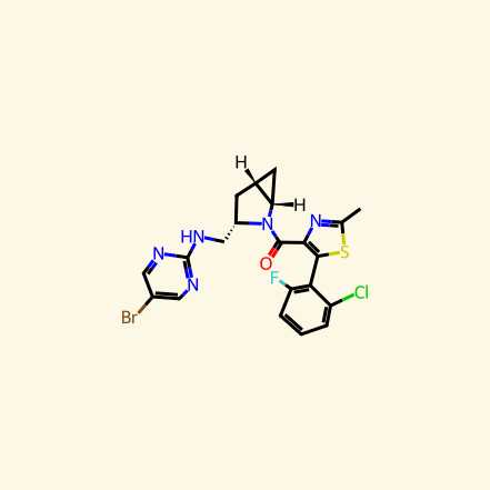 Cc1nc(C(=O)N2[C@H](CNc3ncc(Br)cn3)C[C@@H]3C[C@@H]32)c(-c2c(F)cccc2Cl)s1